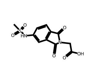 CS(=O)(=O)Nc1ccc2c(c1)C(=O)N(CC(=O)O)C2=O